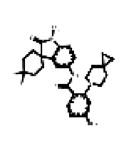 CN1C(=O)C2(CCC(F)(F)CC2)c2cc(NC(=O)c3ccc([N+](=O)[O-])cc3N3CCC4(CC3)CC4)ccc21